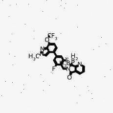 BC1(B)c2ncccc2C(=O)N1Cc1c(F)cc(-c2ccc(OC(F)(F)F)c3nn(C)cc23)cc1F